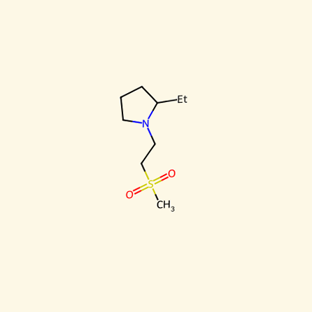 CCC1CCCN1CCS(C)(=O)=O